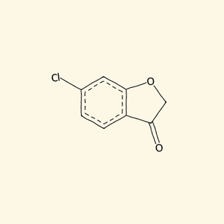 O=C1COc2cc(Cl)ccc21